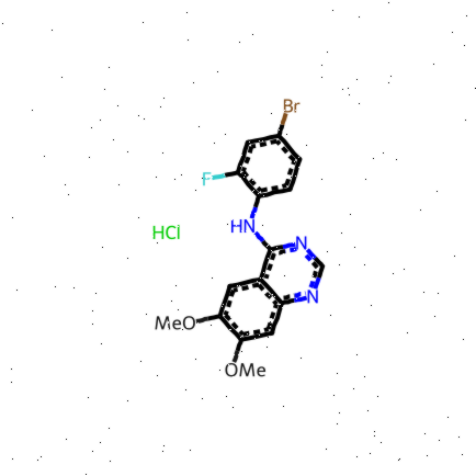 COc1cc2ncnc(Nc3ccc(Br)cc3F)c2cc1OC.Cl